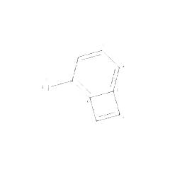 Clc1cccc2c1C=[C]2